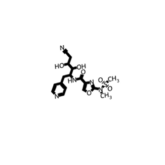 CN(c1nc(C(=O)NC(Cc2ccncc2)C(O)C(O)CC#N)co1)S(C)(=O)=O